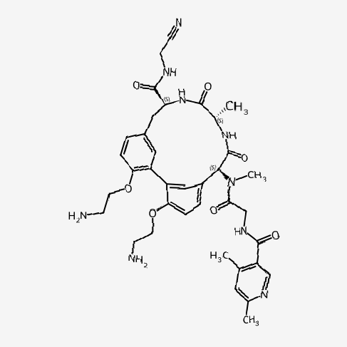 Cc1cc(C)c(C(=O)NCC(=O)N(C)[C@@H]2C(=O)N[C@@H](C)C(=O)N[C@H](C(=O)NCC#N)Cc3ccc(OCCN)c(c3)-c3cc2ccc3OCCN)cn1